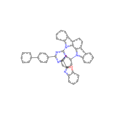 c1ccc(-c2ccc(-c3nc(-c4nc5ccccc5o4)nc(-n4c5ccccc5c5ccc6c7ccccc7n(-c7ccccc7)c6c54)n3)cc2)cc1